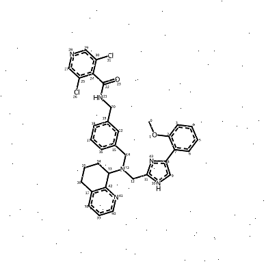 COc1ccccc1-c1c[nH]c(CN(Cc2cccc(CNC(=O)c3c(Cl)cncc3Cl)c2)C2CCCc3cccnc32)n1